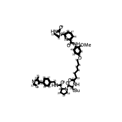 COc1cc(OCCCCCCC(=O)N[C@H](C(=O)N2CCC[C@H]2C(=O)NCc2ccc(-c3scnc3C)cc2)C(C)(C)C)ccc1NC(=O)c1cccc(-n2cc[nH]c2=O)n1